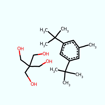 Cc1cc(C(C)(C)C)cc(C(C)(C)C)c1.OCC(CO)(CO)CO